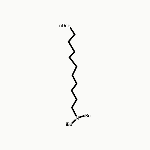 CCCCCCCCCCCCCCCCCCCCN(C(C)CC)C(C)CC